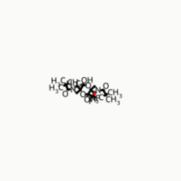 CC(C)(C)C(=O)N1CC2(C1)O[C@@](C)(O)C1(CN(C(=O)C(C)(C)C)C1)O[C@@]2(O)C(F)(F)F